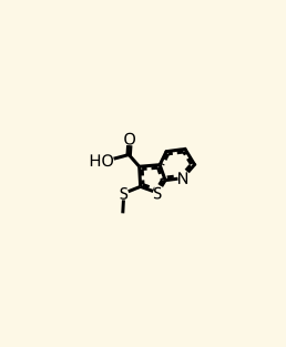 CSc1sc2ncccc2c1C(=O)O